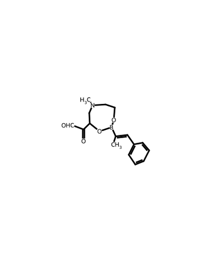 CC(=Cc1ccccc1)B1OCCN(C)CC(C(=O)C=O)O1